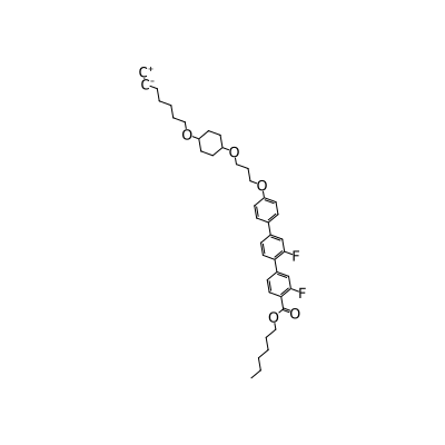 [CH2+][CH-]CCCCCOC1CCC(OCCCOc2ccc(-c3ccc(-c4ccc(C(=O)OCCCCCC)c(F)c4)c(F)c3)cc2)CC1